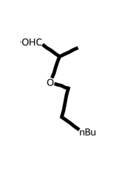 CCCCCCOC(C)[C]=O